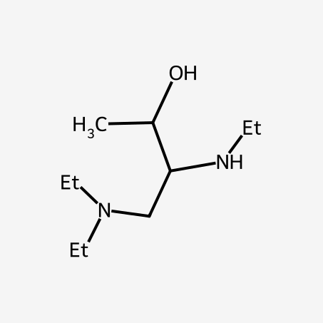 CCNC(CN(CC)CC)C(C)O